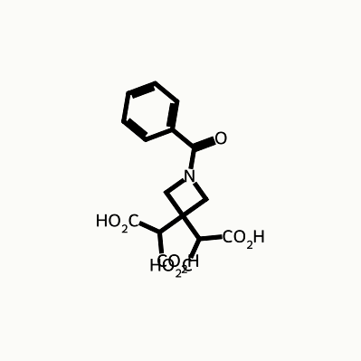 O=C(O)C(C(=O)O)C1(C(C(=O)O)C(=O)O)CN(C(=O)c2ccccc2)C1